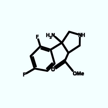 COC(=O)C1CNCC1(N)c1ccc(F)cc1F